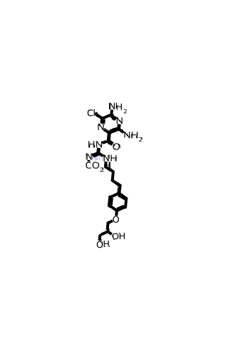 Nc1nc(N)c(C(=O)N/C(=N/C(=O)O)NCCCCc2ccc(OCC(O)CO)cc2)nc1Cl